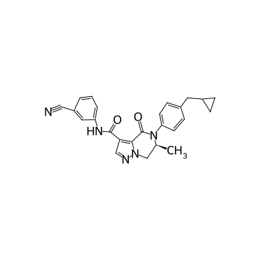 C[C@H]1Cn2ncc(C(=O)Nc3cccc(C#N)c3)c2C(=O)N1c1ccc(CC2CC2)cc1